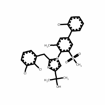 Cc1cc(-c2ccccc2Cl)cc(S(C)(=O)=O)c1-n1cc(C(C)(C)O)nc1Cc1cccc(Cl)c1Cl